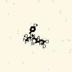 COc1ccc(Cn2nc(-c3c(Br)c4nc(OC)c(Cl)cc4n3C)nc2C(OC)C(F)(F)F)cc1